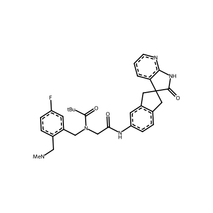 CNCc1ccc(F)cc1CN(CC(=O)Nc1ccc2c(c1)CC1(C2)C(=O)Nc2ncccc21)C(=O)C(C)(C)C